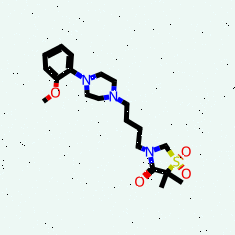 COc1ccccc1N1CCN(CCCCN2CS(=O)(=O)C(C)(C)C2=O)CC1